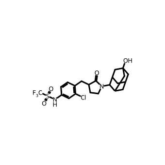 O=C1C(Cc2ccc(NS(=O)(=O)C(F)(F)F)cc2Cl)CCN1C1C2CC3CC1CC(O)(C3)C2